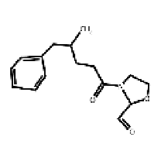 CC(CCC(=O)N1CCOC1C=O)Cc1ccccc1